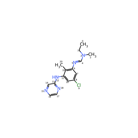 CCN(C)C=Nc1cc(Cl)cc(Nc2cnccn2)c1C